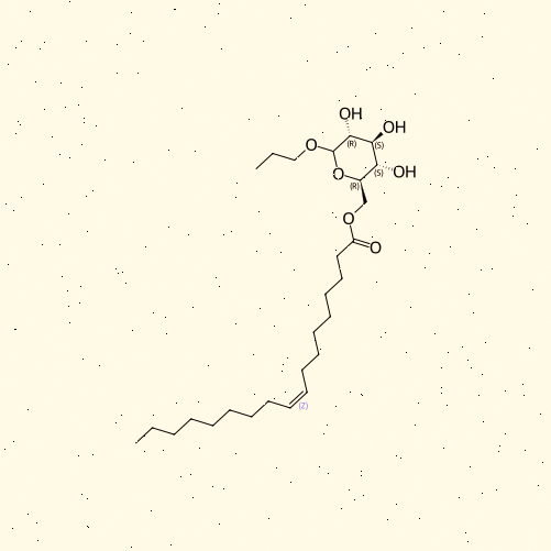 CCCCCCCC/C=C\CCCCCCCC(=O)OC[C@H]1OC(OCCC)[C@H](O)[C@@H](O)[C@@H]1O